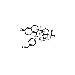 CO[C@@]1(C(F)(F)F)CC[C@H]2[C@@H]3CCC4=CC(=O)CCC4=C3[C@@H](c3ccc(C=O)cc3)C[C@@]21C